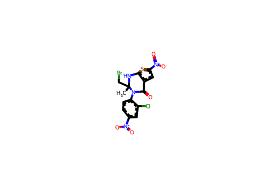 CC1(CBr)Nc2sc([N+](=O)[O-])cc2C(=O)N1c1ccc([N+](=O)[O-])cc1Cl